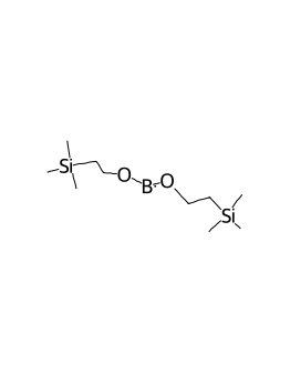 C[Si](C)(C)CCO[B]OCC[Si](C)(C)C